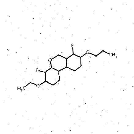 CCCOC1CCC2C(COC3C(F)C(OCC)CCC23)C1F